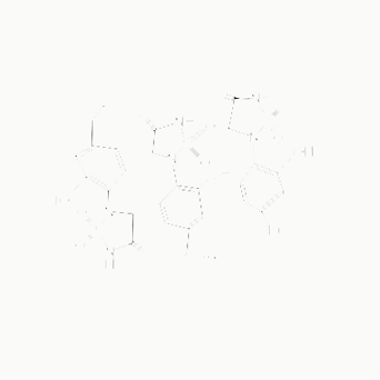 CC(C)Cc1ccc(N2CC(=O)NS2(=O)=O)c(O)c1.CCCCCCc1ccc(N2CC(=O)NS2(=O)=O)c(O)c1.CCc1ccc(N2CC(=O)NS2(=O)=O)c(O)c1